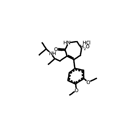 COc1ccc(C2=C(CC(C)NC(C)C)C(=O)NCCC2)cc1OC.Cl.O